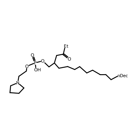 CCCCCCCCCCCCCCCCCCCC(COP(=O)(O)OCCN1CCCC1)CC(=O)CC